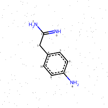 N=C(N)Cc1ccc(N)cc1